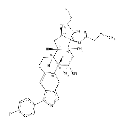 COCC(=O)O[C@]1(C(=O)SCF)[C@H](C)C[C@H]2[C@@H]3CCC4=Cc5c(cnn5-c5ccc(F)cc5)C[C@]4(C)[C@@]3(F)[C@@H](O)C[C@@]21C